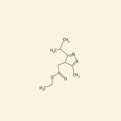 CCOC(=O)CC1C(C)=NN=C1C(C)C